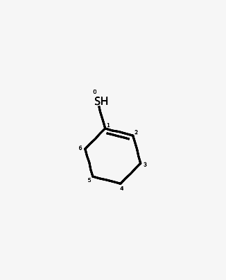 SC1=CCCCC1